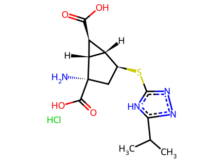 CC(C)c1nnc(S[C@H]2C[C@@](N)(C(=O)O)[C@@H]3[C@@H](C(=O)O)[C@@H]32)[nH]1.Cl